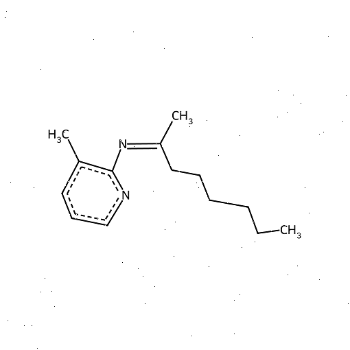 CCCCCCC(C)=Nc1ncccc1C